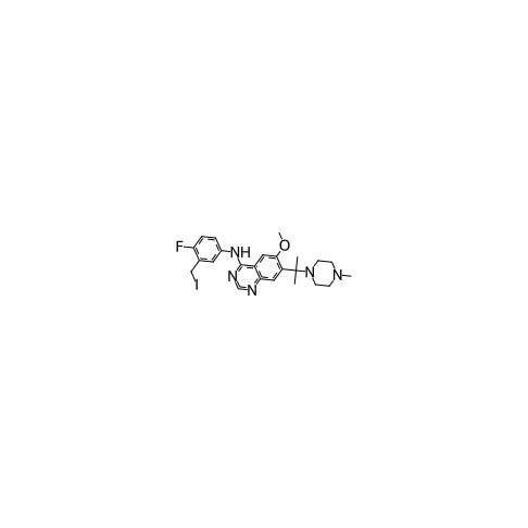 COc1cc2c(Nc3ccc(F)c(CI)c3)ncnc2cc1C(C)(C)N1CCN(C)CC1